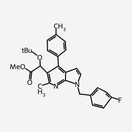 COC(=O)C(OC(C)(C)C)c1c(C)nc2c(ccn2Cc2ccc(F)cc2)c1-c1ccc(C)cc1